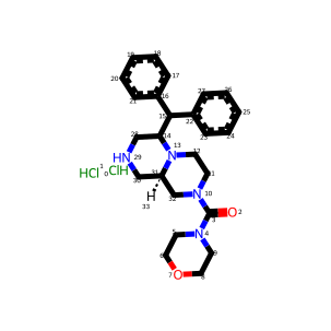 Cl.Cl.O=C(N1CCOCC1)N1CCN2C(C(c3ccccc3)c3ccccc3)CNC[C@@H]2C1